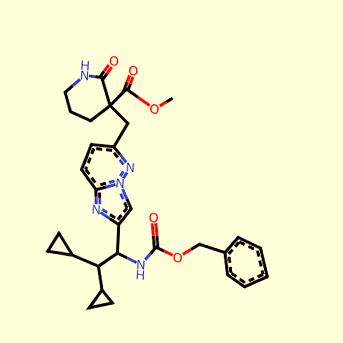 COC(=O)C1(Cc2ccc3nc(C(NC(=O)OCc4ccccc4)C(C4CC4)C4CC4)cn3n2)CCCNC1=O